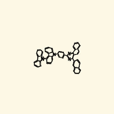 c1ccc2cc(-c3nc(-c4ccc(-n5c6ccccc6c6c(-n7c8ccccc8c8ccccc87)cccc65)cc4)nc4c3ccc3ccccc34)ccc2c1